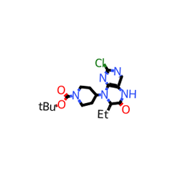 CCC1C(=O)Nc2cnc(Cl)nc2N1C1CCN(C(=O)OC(C)(C)C)CC1